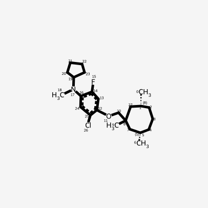 C[C@@H]1CCC[C@H](C)CC(C)(COc2cc(F)c(N(C)C3CCCC3)cc2Cl)C1